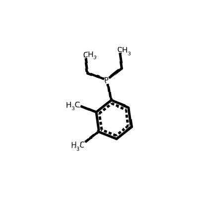 CCP(CC)c1cccc(C)c1C